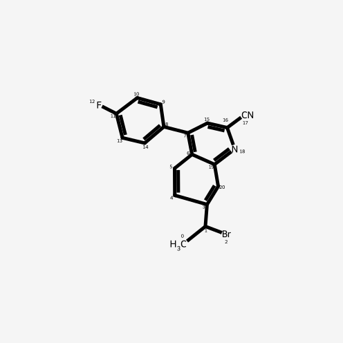 CC(Br)c1ccc2c(-c3ccc(F)cc3)cc(C#N)nc2c1